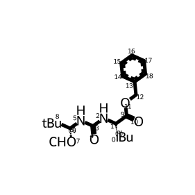 CC[C@@H](C)C(NC(=O)N[C@H](C=O)C(C)(C)C)C(=O)OCc1ccccc1